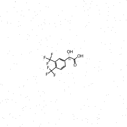 O=C(O)[C@@H](O)c1ccc(C(F)(F)F)c(C(F)(F)F)c1